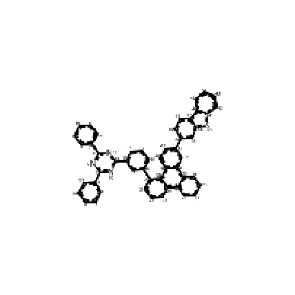 c1ccc(-c2nc(-c3ccccc3)nc(-c3cccc(-c4cccc5c6ccccc6c6cc(-c7ccc8c(c7)sc7ccccc78)ccc6c45)c3)n2)cc1